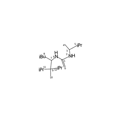 C=C(NC(C)C(C)C)NC(C(C)CC)C(C)(C(C)C)C(C)C